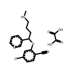 CNCCCC(Oc1cc(Cl)ccc1C#N)c1cccnc1.O=C(O)C(=O)O